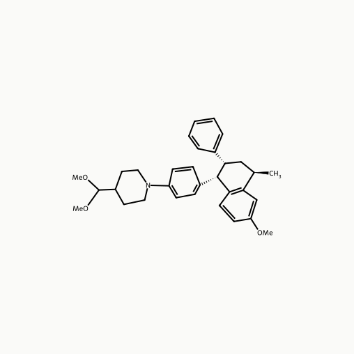 COc1ccc2c(c1)[C@H](C)C[C@@H](c1ccccc1)[C@H]2c1ccc(N2CCC(C(OC)OC)CC2)cc1